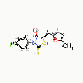 Cc1ccc(C=C2SC(=S)N(c3ccc(F)cc3)C2=O)o1